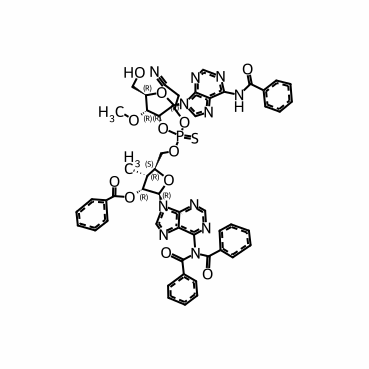 CO[C@H]1[C@@H](OP(=S)(OCCC#N)OC[C@H]2O[C@@H](n3cnc4c(N(C(=O)c5ccccc5)C(=O)c5ccccc5)ncnc43)[C@H](OC(=O)c3ccccc3)[C@@H]2C)[C@H](n2cnc3c(NC(=O)c4ccccc4)ncnc32)O[C@@H]1CO